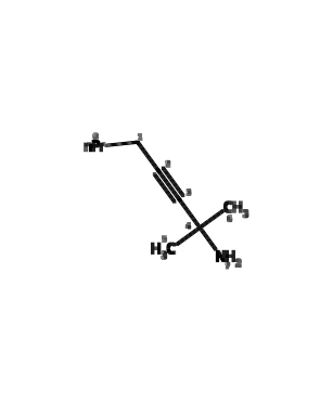 CCCCC#CC(C)(C)N